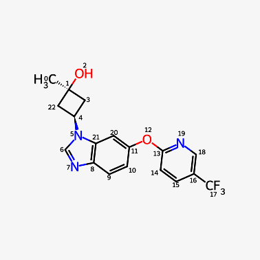 C[C@]1(O)C[C@@H](n2cnc3ccc(Oc4ccc(C(F)(F)F)cn4)cc32)C1